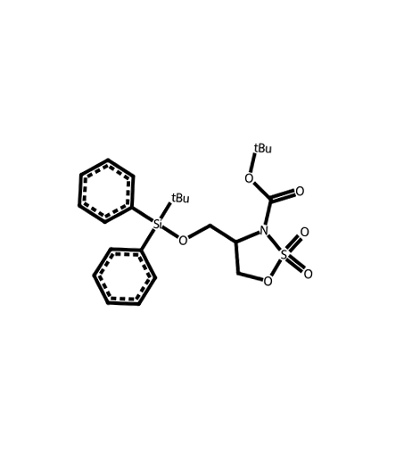 CC(C)(C)OC(=O)N1C(CO[Si](c2ccccc2)(c2ccccc2)C(C)(C)C)COS1(=O)=O